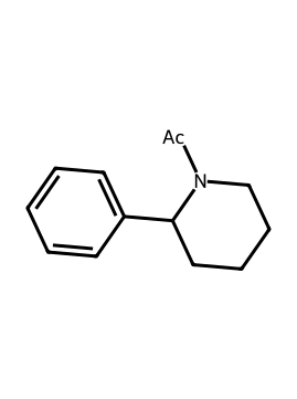 CC(=O)N1CCCCC1c1ccccc1